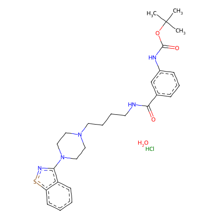 CC(C)(C)OC(=O)Nc1cccc(C(=O)NCCCCN2CCN(c3nsc4ccccc34)CC2)c1.Cl.O